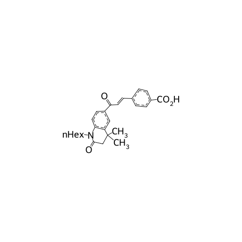 CCCCCCN1C(=O)CC(C)(C)c2cc(C(=O)C=Cc3ccc(C(=O)O)cc3)ccc21